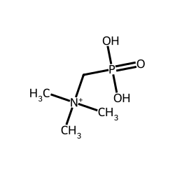 C[N+](C)(C)CP(=O)(O)O